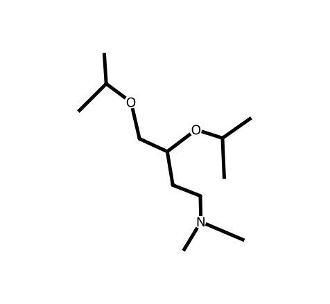 CC(C)OCC(CCN(C)C)OC(C)C